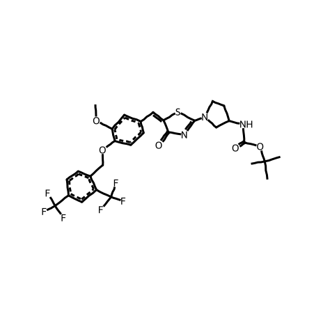 COc1cc(C=C2SC(N3CCC(NC(=O)OC(C)(C)C)C3)=NC2=O)ccc1OCc1ccc(C(F)(F)F)cc1C(F)(F)F